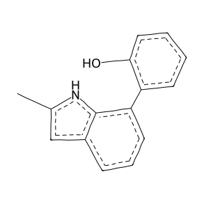 Cc1cc2cccc(-c3ccccc3O)c2[nH]1